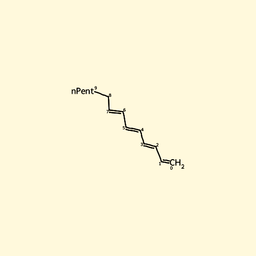 C=CC=CC=CC=CCCCCCC